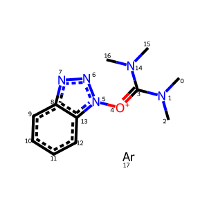 CN(C)C(=[O+]n1nnc2ccccc21)N(C)C.[Ar]